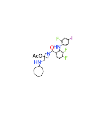 CC(=O)OC1(CNC2CCCCCCC2)CN(C(=O)c2ccc(F)c(F)c2Nc2ccc(I)cc2F)C1